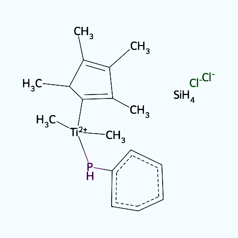 CC1=C(C)C(C)[C]([Ti+2]([CH3])([CH3])[PH]c2ccccc2)=C1C.[Cl-].[Cl-].[SiH4]